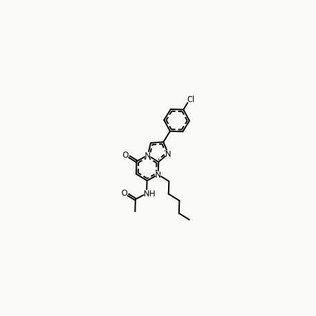 CCCCCn1c(NC(C)=O)cc(=O)n2cc(-c3ccc(Cl)cc3)nc12